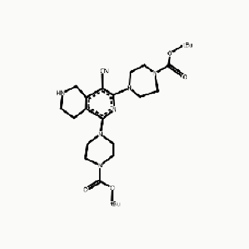 CC(C)(C)OC(=O)N1CCN(c2nc(N3CCN(C(=O)OC(C)(C)C)CC3)c3c(c2C#N)CNCC3)CC1